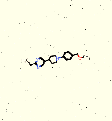 CCc1ncc(C2CCN(c3ccc(COC)cc3)CC2)cn1